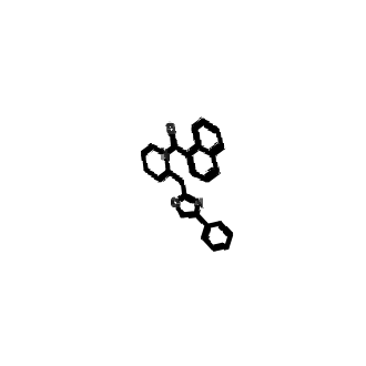 O=C(c1cccc2ccccc12)N1CCCCC1Cc1nc(-c2ccccc2)co1